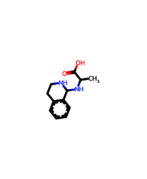 CC(NC1NCCc2ccccc21)C(=O)O